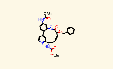 COC(=O)Nc1ccc2c(c1)NC(=O)C(OCc1ccccc1)C=CC[C@H](NC(=O)OC(C)(C)C)c1cc-2ccn1